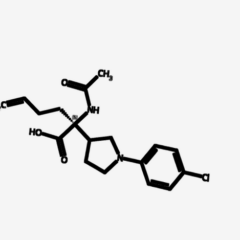 C=CCC[C@@](NC(C)=O)(C(=O)O)C1CCN(c2ccc(Cl)cc2)C1